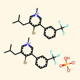 CC(C)Cc1c[n+](C)cc(-c2cccc(C(F)(F)F)c2)c1Br.CC(C)Cc1c[n+](C)cc(-c2cccc(C(F)(F)F)c2)c1Br.O=P([O-])([O-])O